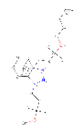 CCOC(C)(C)CCN1N=NC2(CCC(C)(C)OCCCOC)C1CC1CC2C1(C)C